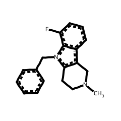 CN1CCc2c(c3cccc(F)c3n2Cc2ccccc2)C1